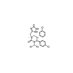 CCC(CC)N1C(=O)[C@@](C)(CC2=NNNN2)C[C@H](c2cccc(Cl)c2)[C@H]1c1ccc(Cl)cc1